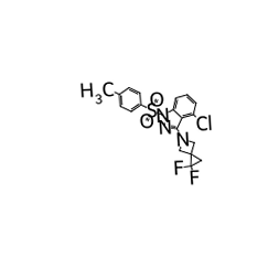 Cc1ccc(S(=O)(=O)n2nc(N3CC4(C3)CC4(F)F)c3c(Cl)cccc32)cc1